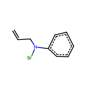 C=CCN(Br)c1ccccc1